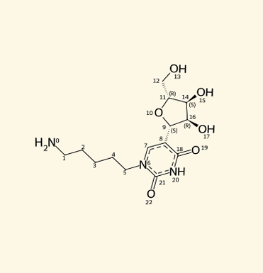 NCCCCCn1cc([C@@H]2O[C@H](CO)[C@@H](O)[C@H]2O)c(=O)[nH]c1=O